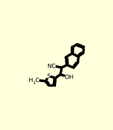 Cc1ccc(C(O)C(C#N)c2ccc3ccccc3c2)s1